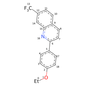 [CH2]COc1ccc(-c2ccc3ccc(C(F)(F)F)cc3n2)cc1